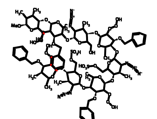 CO[C@H]1OC(CO)[C@@H](O[C@@H]2OC(C)C(O[C@H]3OC(CO)[C@@H](O[C@@H]4OC(C)[C@H](O[C@@H]5OC(COS(=O)(=O)O)[C@@H](O[C@@H]6OC(C)[C@H](O[C@@H]7OC(COS(=O)(=O)O)[C@@H](O[C@@H]8OC(C)[C@@H](C)[C@@H](OCc9ccccc9)C8OOO)[C@H](C)C7N=[N+]=[N-])[C@@H](OCc7ccccc7)C6OOO)[C@H](C)C5N=[N+]=[N-])[C@@H](OCc5ccccc5)C4OOO)[C@H](C)C3N=[N+]=[N-])[C@@H](OCc3ccccc3)C2OOO)[C@H](C)C1C